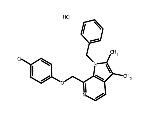 Cc1c(C)n(Cc2ccccc2)c2c(COc3ccc(Cl)cc3)nccc12.Cl